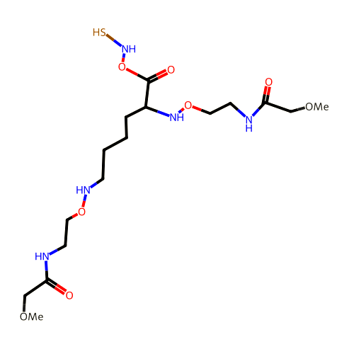 COCC(=O)NCCONCCCCC(NOCCNC(=O)COC)C(=O)ONS